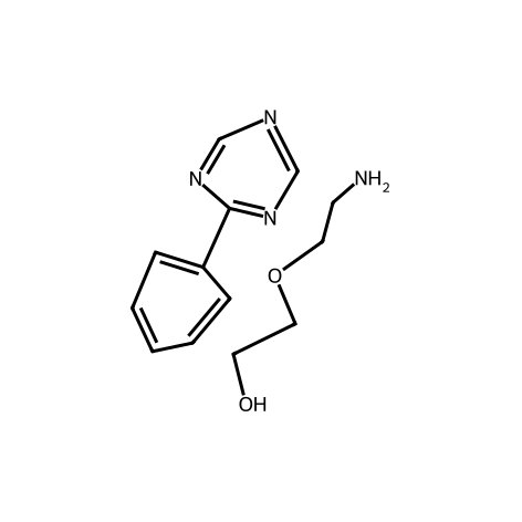 NCCOCCO.c1ccc(-c2ncncn2)cc1